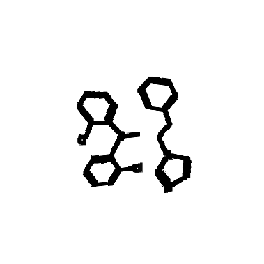 CB(c1ccccc1Cl)c1ccccc1Cl.c1ccc(CCn2ccnc2)cc1